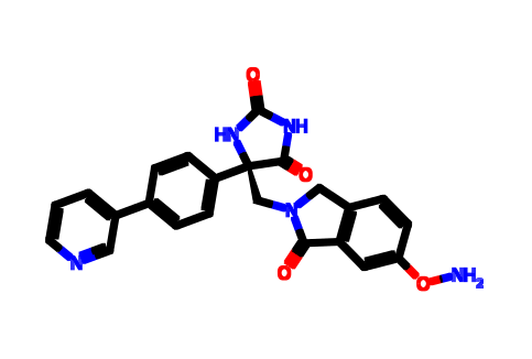 NOc1ccc2c(c1)C(=O)N(C[C@@]1(c3ccc(-c4cccnc4)cc3)NC(=O)NC1=O)C2